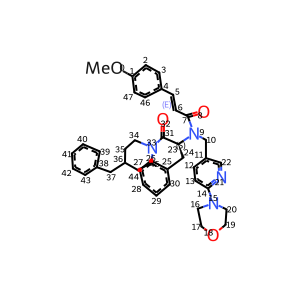 COc1ccc(/C=C/C(=O)N(Cc2ccc(N3CCOCC3)nc2)[C@@H](Cc2ccccc2)C(=O)N2CCC(Cc3ccccc3)CC2)cc1